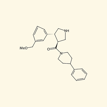 COCc1cccc([C@@H]2CNC[C@H]2C(=O)N2CCC(c3ccccc3)CC2)c1